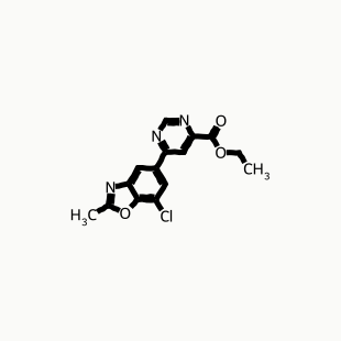 CCOC(=O)c1cc(-c2cc(Cl)c3oc(C)nc3c2)ncn1